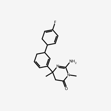 CN1C(=O)CC(C)(C2=CC(C3C=CC(F)=CC3)CC=C2)N=C1N